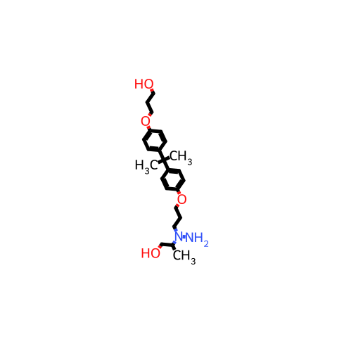 CC(CO)N(N)CCCOc1ccc(C(C)(C)c2ccc(OCCCO)cc2)cc1